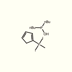 CCCCP(O)CCCC.[CH3][Ir]([I])([I])[C]1=CC=CC1